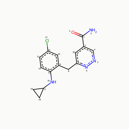 NC(=O)c1cnnc(Cc2cc(Cl)ccc2NC2CC2)c1